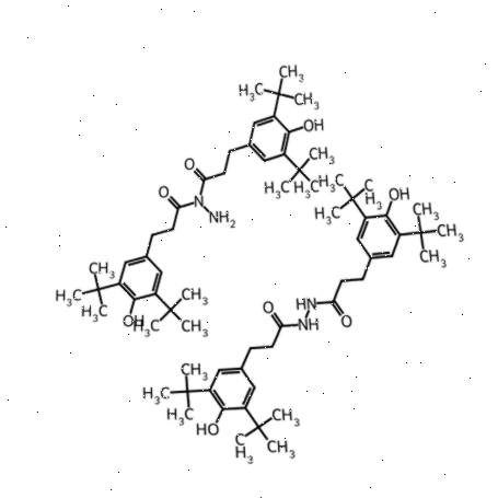 CC(C)(C)c1cc(CCC(=O)N(N)C(=O)CCc2cc(C(C)(C)C)c(O)c(C(C)(C)C)c2)cc(C(C)(C)C)c1O.CC(C)(C)c1cc(CCC(=O)NNC(=O)CCc2cc(C(C)(C)C)c(O)c(C(C)(C)C)c2)cc(C(C)(C)C)c1O